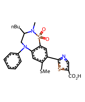 CCCCC1CN(c2ccccc2)c2cc(SC)c(-c3ncc(C(=O)O)s3)cc2S(=O)(=O)N1C